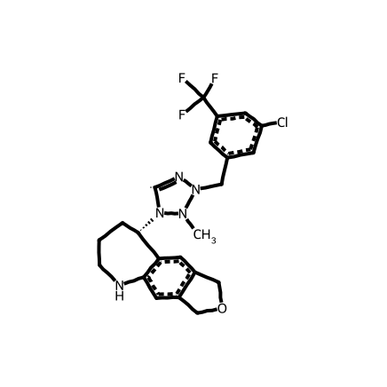 CN1N(Cc2cc(Cl)cc(C(F)(F)F)c2)N=[C]N1[C@H]1CCCNc2cc3c(cc21)COC3